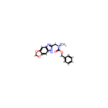 CN(Cc1nc2cc3c(cc2[nH]1)OCO3)C(=O)OCc1ccccc1